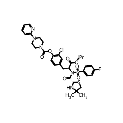 CC(C)OC(=O)[C@H](Cc1ccc(OC(=O)N2CCN(c3ccccn3)CC2)c(Cl)c1)N(C(=O)[C@H]1NC(C)(C)CS1)S(=O)(=O)c1ccc(F)cc1